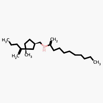 C=C(BC[C@@H]1CC[C@@](C)(C(=C)CCC)C1)CCCCCCCCC